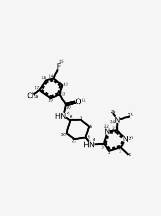 Cc1cc(NC2CCC(NC(=O)c3cc(F)cc(Cl)c3)CC2)nc(N(C)C)n1